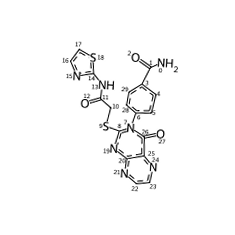 NC(=O)c1ccc(-n2c(SCC(=O)Nc3nccs3)nc3nccnc3c2=O)cc1